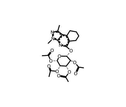 CC(=O)O[C@@H]1O[C@H](Oc2nc3c(c(C)nn3C)c3c2CCCC3)[C@H](OC(C)=O)[C@H](OC(C)=O)[C@@H]1OC(C)=O